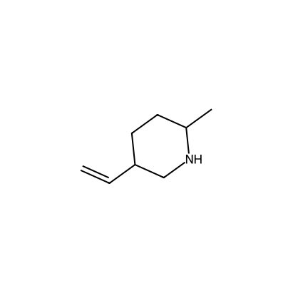 C=CC1CCC(C)NC1